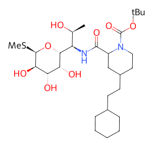 CS[C@H]1O[C@H]([C@H](NC(=O)C2CC(CCC3CCCCC3)CCN2C(=O)OC(C)(C)C)[C@H](C)O)[C@H](O)[C@H](O)[C@H]1O